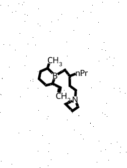 C=CC1CCCC(C)B1CC(CCC)CCN1CCC1